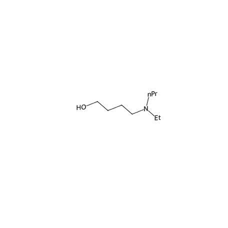 [CH2]CN(CCC)CCCCO